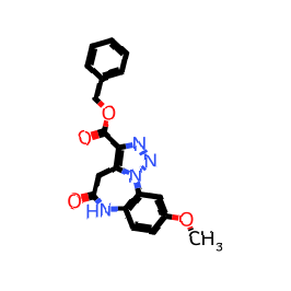 COc1ccc2c(c1)-n1nnc(C(=O)OCc3ccccc3)c1CC(=O)N2